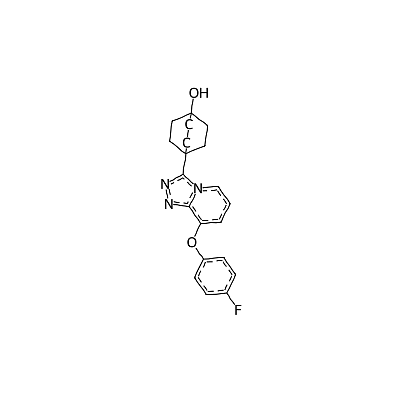 OC12CCC(c3nnc4c(Oc5ccc(F)cc5)cccn34)(CC1)CC2